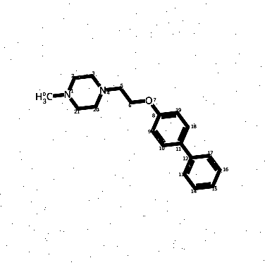 CN1CCN(CCOc2ccc(-c3cc[c]cc3)cc2)CC1